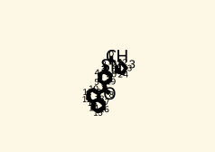 CC(Sc1ccc(C(=O)c2cccc3ccccc23)cc1)N1CCCC1